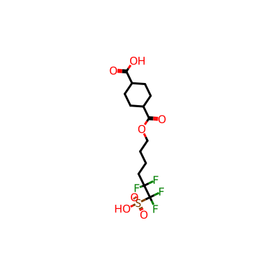 O=C(O)C1CCC(C(=O)OCCCCC(F)(F)C(F)(F)S(=O)(=O)O)CC1